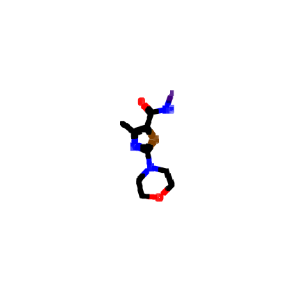 Cc1nc(N2CCOCC2)sc1C(=O)NI